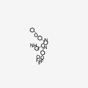 CN.O=C(Oc1ccc(-c2nc3ccnc(-c4ccc(OCc5ccccc5)cc4)c3cc2-c2ccccc2)cc1)C(F)(F)F